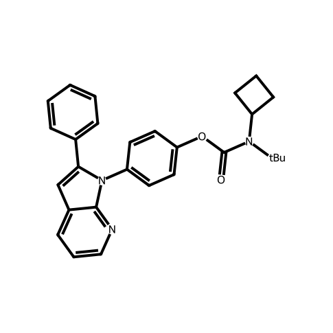 CC(C)(C)N(C(=O)Oc1ccc(-n2c(-c3ccccc3)cc3cccnc32)cc1)C1CCC1